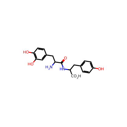 NC(Cc1ccc(O)c(O)c1)C(=O)NC(Cc1ccc(O)cc1)C(=O)O